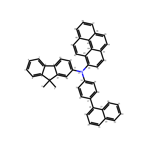 CC1(C)c2ccccc2-c2ccc(N(c3ccc(-c4cccc5ccccc45)cc3)c3ccc4ccc5cccc6ccc3c4c56)cc21